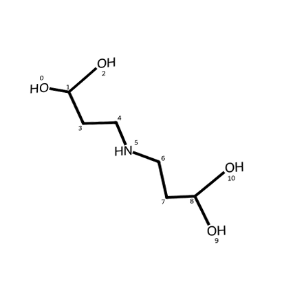 OC(O)CCNCCC(O)O